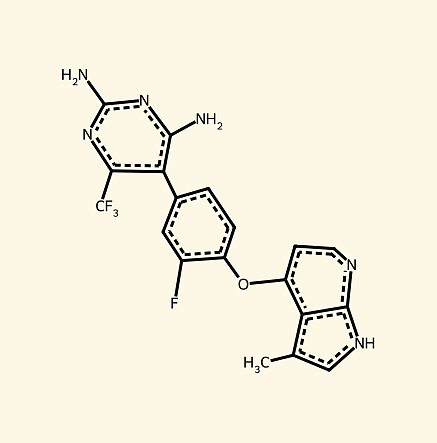 Cc1c[nH]c2nccc(Oc3ccc(-c4c(N)nc(N)nc4C(F)(F)F)cc3F)c12